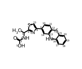 CC(NC(=O)O)c1nc(-c2ccc3c(c2)Nc2ccccc2S3)cs1